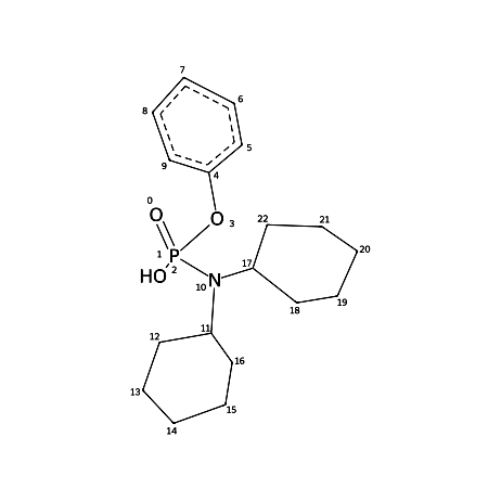 O=P(O)(Oc1ccccc1)N(C1CCCCC1)C1CCCCC1